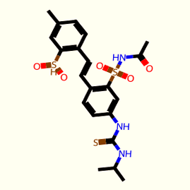 CC(=O)NS(=O)(=O)c1cc(NC(=S)NC(C)C)ccc1/C=C/c1ccc(C)cc1[SH](=O)=O